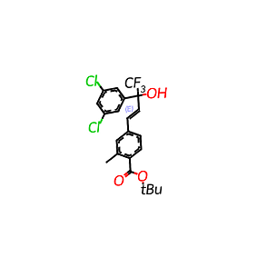 Cc1cc(/C=C/C(O)(c2cc(Cl)cc(Cl)c2)C(F)(F)F)ccc1C(=O)OC(C)(C)C